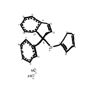 C1=CC[C]([Zr][C]2(c3ccccc3)C=Cc3ccccc32)=C1.Cl.Cl